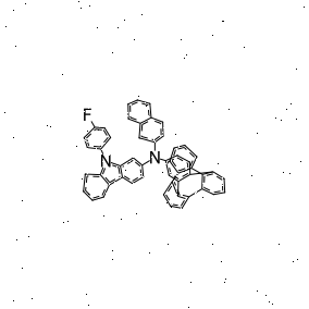 Fc1ccc(-n2c3ccccc3c3ccc(N(c4ccc5c(c4)-c4c6cccc4-c4cccc-5c4-c4ccccc4-6)c4ccc5ccccc5c4)cc32)cc1